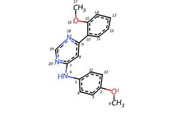 COc1ccc(Nc2cc(-c3ccccc3OC)ncn2)cc1